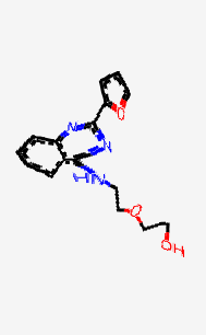 OCCOCCNc1nc(-c2ccco2)nc2ccccc12